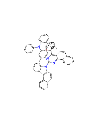 CC1(C)c2ccccc2N(c2ccccc2)c2cc(-c3cccc4c5c6ccccc6ccc5n(-c5nc(-c6ccccc6)c6ccc7ccccc7c6n5)c34)ccc21